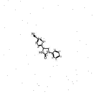 N#Cc1cnc(C2CN(c3ccccc3)C(=O)N2)cn1